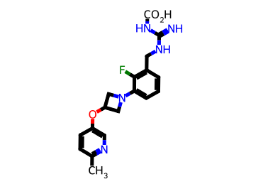 Cc1ccc(OC2CN(c3cccc(CNC(=N)NC(=O)O)c3F)C2)cn1